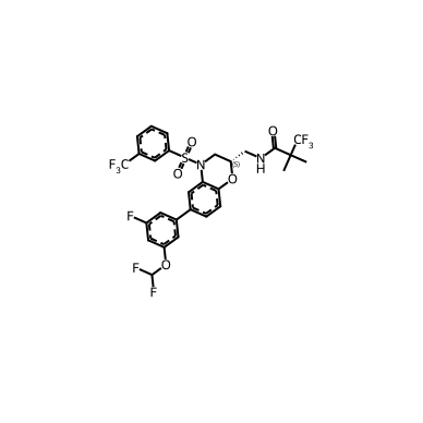 CC(C)(C(=O)NC[C@H]1CN(S(=O)(=O)c2cccc(C(F)(F)F)c2)c2cc(-c3cc(F)cc(OC(F)F)c3)ccc2O1)C(F)(F)F